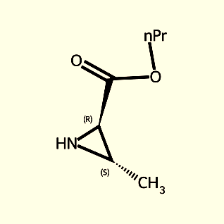 CCCOC(=O)[C@@H]1N[C@H]1C